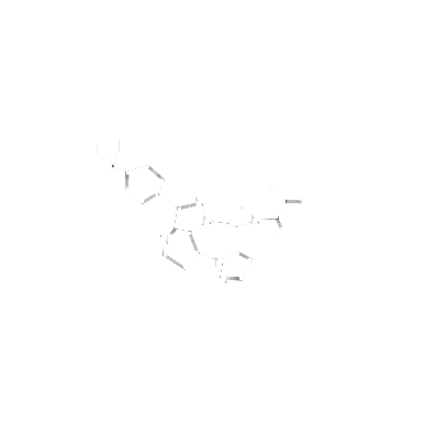 C=C(F)C(=O)N1CC(n2nc(-c3ccc(C(F)(F)F)cc3)c3nccc(-n4cccn4)c32)C1